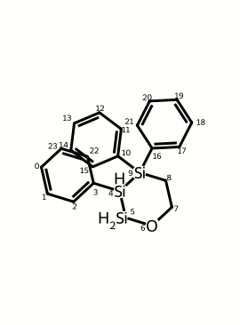 c1ccc([SiH]2[SiH2]OCC[Si]2(c2ccccc2)c2ccccc2)cc1